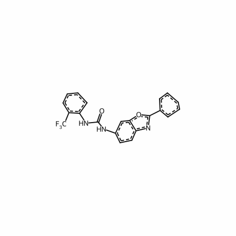 O=C(Nc1ccc2nc(-c3ccccc3)oc2c1)Nc1ccccc1C(F)(F)F